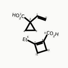 C=CC1(C(=O)O)CC1.CCC1=C(C(=O)O)CC1